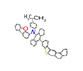 CC(C)c1ccc(N(c2c3ccccc3c(-c3ccc4c(c3)sc3cc5ccc6ccccc6c5cc34)c3ccccc23)c2cccc3c2oc2ccccc23)cc1